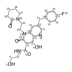 O=C(NCCO)c1c(O)c2ncc(Cc3ccc(F)cc3)cc2n(CCN2CCCCC2=O)c1=O